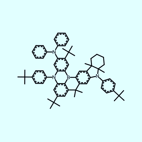 CC(C)(C)c1ccc(N2c3cc(N(c4ccccc4)c4ccccc4)c(C(C)(C)C)cc3B3c4cc5c(cc4C(C)(C)c4cc(C(C)(C)C)cc2c43)N(c2ccc(C(C)(C)C)cc2)C2(C)CCCCC52C)cc1